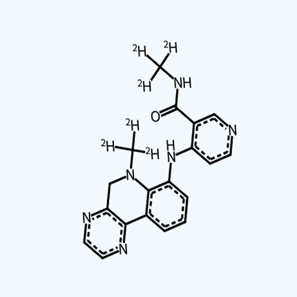 [2H]C([2H])([2H])NC(=O)c1cnccc1Nc1cccc2c1N(C([2H])([2H])[2H])Cc1nccnc1-2